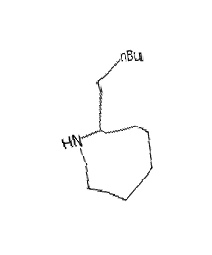 [CH2]CCCCC1CCCCN1